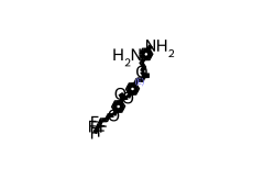 C=C(/C=C/c1ccc(OC(=O)c2ccc(OCCCC(F)(F)C(F)(F)F)cc2)cc1)OCCc1ccc(N)cc1N